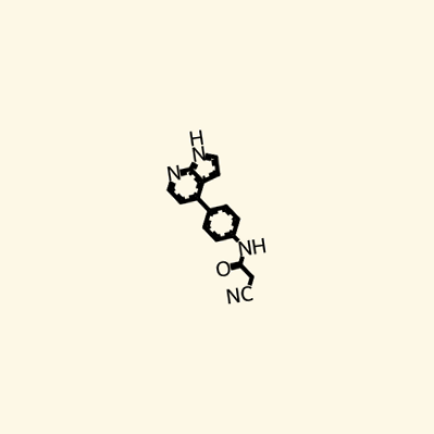 N#CCC(=O)Nc1ccc(-c2ccnc3[nH]ccc23)cc1